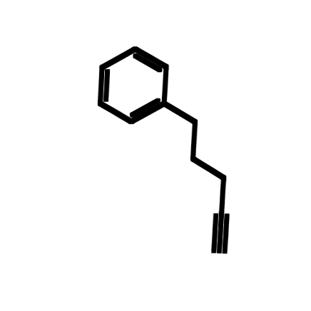 C#CCCCc1ccccc1